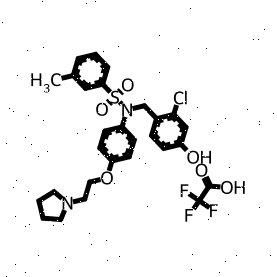 Cc1cccc(S(=O)(=O)N(Cc2ccc(O)cc2Cl)c2ccc(OCCN3CCCC3)cc2)c1.O=C(O)C(F)(F)F